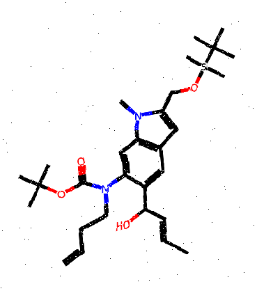 C=CCCN(C(=O)OC(C)(C)C)c1cc2c(cc1C(O)C=CC)cc(CO[Si](C)(C)C(C)(C)C)n2C